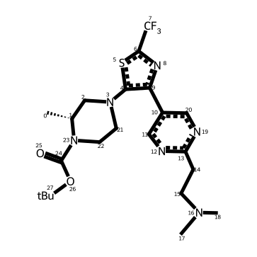 C[C@@H]1CN(c2sc(C(F)(F)F)nc2-c2cnc(CCN(C)C)nc2)CCN1C(=O)OC(C)(C)C